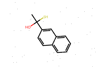 CC(O)(S)c1ccc2ccccc2c1